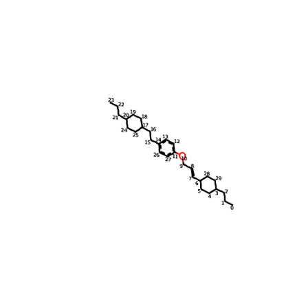 CCCC1CCC(C=CCOc2ccc(CCC3CCC(CCC)CC3)cc2)CC1